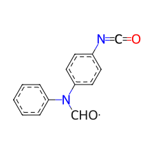 O=[C]N(c1ccccc1)c1ccc(N=C=O)cc1